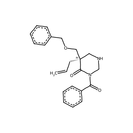 C=CC[C@]1(COCc2ccccc2)CNCN(C(=O)c2ccccc2)C1=O